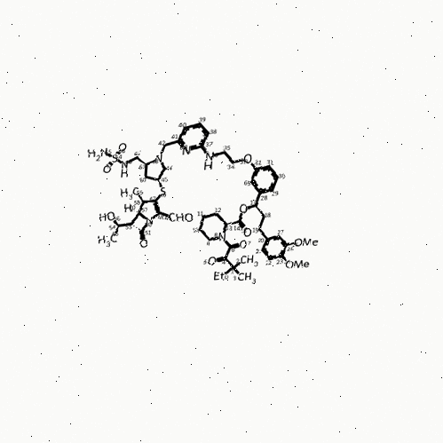 CCC(C)(C)C(=O)C(=O)N1CCCC[C@H]1C(=O)O[C@H](CCc1ccc(OC)c(OC)c1)c1cccc(OCCNc2cccc(CN3C[C@@H](SC4=C(C=O)N5C(=O)[C@H]([C@@H](C)O)[C@H]5[C@H]4C)C[C@H]3CNS(N)(=O)=O)n2)c1